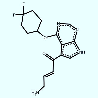 NCC=CC(=O)c1c[nH]c2ncnc(OC3CCC(F)(F)CC3)c12